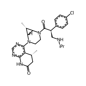 CC(C)NC[C@@H](C(=O)N1CCN(c2ncnc3c2[C@H](C)CC(=O)N3)[C@H]2C1[C@H]2C)c1ccc(Cl)cc1